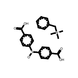 C[N+](C)(C)Cc1ccccc1.O=C(O)c1ccc([S+]([O-])c2ccc(C(=O)O)cc2)cc1